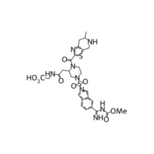 COC(=O)NC(=N)c1ccc2cn(S(=O)(=O)N3CCN(C(=O)c4nc5c(s4)CNC(C)C5)C(CC(=O)NCC(=O)O)C3)cc2c1